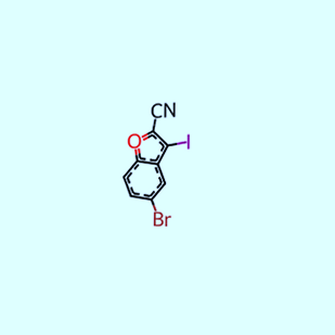 N#Cc1oc2ccc(Br)cc2c1I